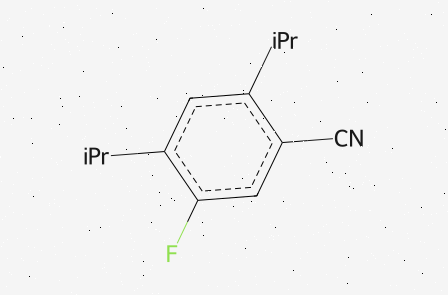 CC(C)c1cc(C(C)C)c(C#N)cc1F